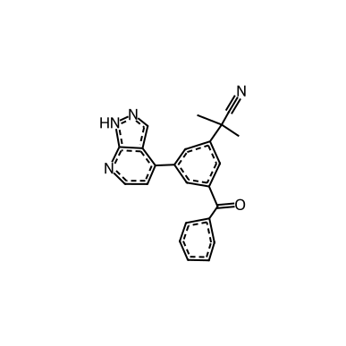 CC(C)(C#N)c1cc(C(=O)c2ccccc2)cc(-c2ccnc3[nH]ncc23)c1